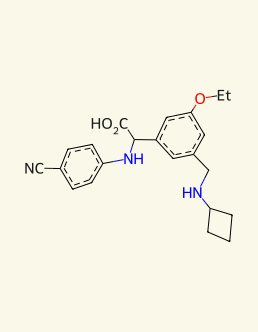 CCOc1cc(CNC2CCC2)cc(C(Nc2ccc(C#N)cc2)C(=O)O)c1